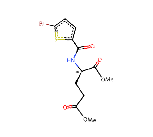 COC(=O)CC[C@@H](NC(=O)c1ccc(Br)s1)C(=O)OC